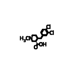 CN1CCC(Cc2ccc(Cl)c(Cl)c2)[C@H](C(=O)O)C1